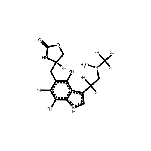 [2H]c1c(C[C@@]2([2H])COC(=O)N2)c([2H])c2c(C([2H])([2H])CN(C)C([2H])([2H])[2H])c[nH]c2c1[2H]